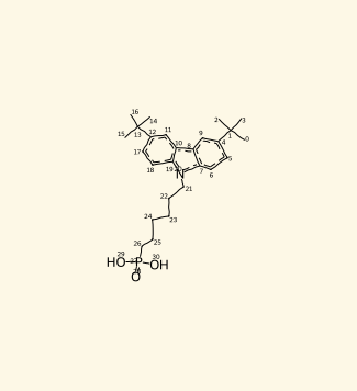 CC(C)(C)c1ccc2c(c1)c1cc(C(C)(C)C)ccc1n2CCCCCCP(=O)(O)O